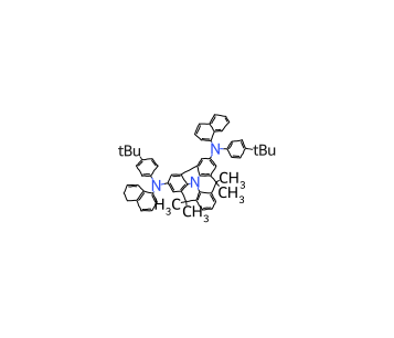 CC(C)(C)c1ccc(N(c2cc3c4c(c2)c2cc(N(c5ccc(C(C)(C)C)cc5)c5cccc6ccccc56)cc5c2n4-c2c(cccc2C5(C)C)C3(C)C)c2cccc3c2C=CCC3)cc1